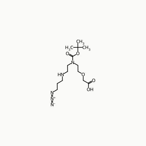 CC(C)(C)OC(=O)N(CCNCCCN=[N+]=[N-])CCOCC(=O)O